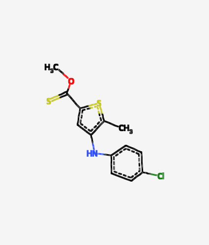 COC(=S)c1cc(Nc2ccc(Cl)cc2)c(C)s1